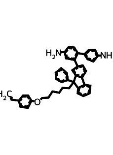 C=Cc1ccc(OCCCCCCC2(c3ccccc3)c3ccccc3-c3ccc(-c4cc(N)ccc4-c4ccc(N)cc4)cc32)cc1